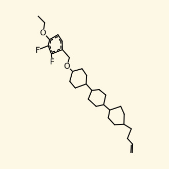 C=CCCC1CCC(C2CCC(C3CCC(OCc4ccc(OCC)c(F)c4F)CC3)CC2)CC1